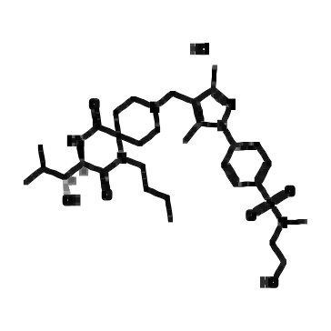 CCCCN1C(=O)[C@@H]([C@H](O)C(C)C)NC(=O)C12CCN(Cc1c(C)nn(-c3ccc(S(=O)(=O)N(C)CCO)cc3)c1C)CC2.Cl